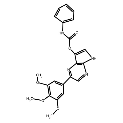 COc1cc(-c2cnc3[nH]cc(OC(=O)Nc4ccccc4)c3n2)cc(OC)c1OC